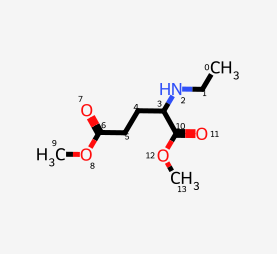 CCNC(CCC(=O)OC)C(=O)OC